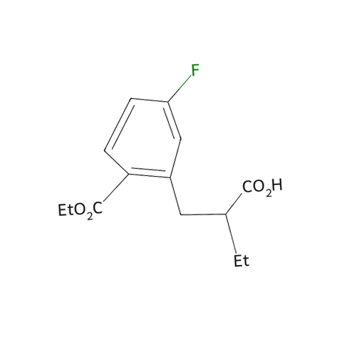 CCOC(=O)c1ccc(F)cc1CC(CC)C(=O)O